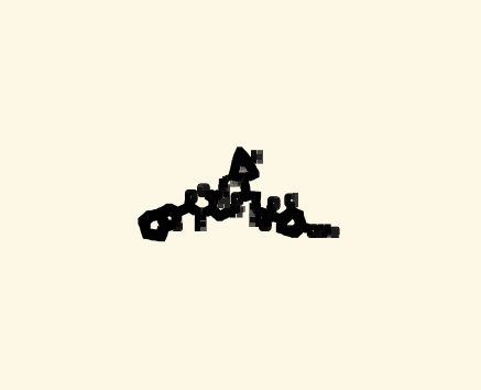 COc1ccc(S(=O)(=O)NCC(=O)N2C[C@@H]3CC3[C@H]2CNC(=O)C(CC(C)C)NC(=O)c2cc3ccccc3s2)c(Cl)c1